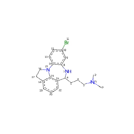 CN(C)CCCC1Nc2cc(Br)ccc2N2CCc3cccc1c32